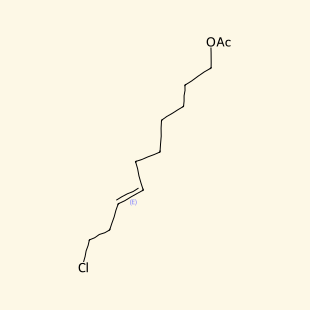 CC(=O)OCCCCCC/C=C/CCCl